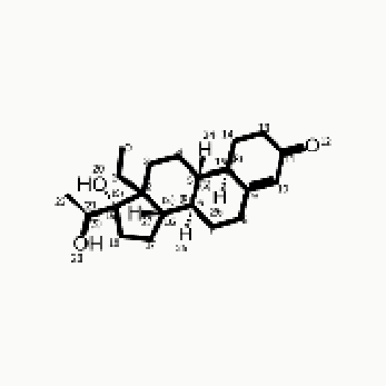 CCC12CC[C@H]3[C@@H](CCC4=CC(=O)CC[C@@H]43)[C@@H]1CC[C@@]2(O)[C@H](C)O